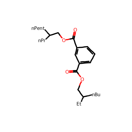 CCCCCC(CCC)COC(=O)c1cccc(C(=O)OCC(CC)CCCC)c1